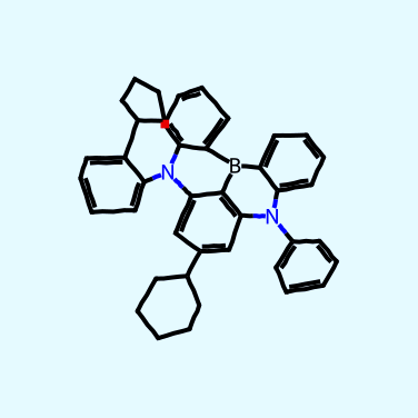 c1ccc(N2c3ccccc3B3c4ccccc4N(c4ccccc4C4CCCC4)c4cc(C5CCCCC5)cc2c43)cc1